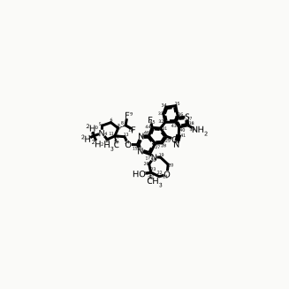 [2H]C([2H])([2H])N1CC[C@H](C(F)F)[C@](C)(COc2nc(N3CCOC[C@@](C)(O)C3)c3cc(Cl)c(-c4cccc5sc(N)c(C#N)c45)c(F)c3n2)C1